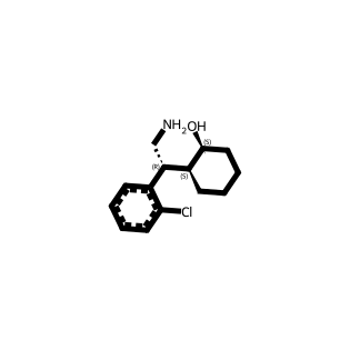 NC[C@@H](c1ccccc1Cl)[C@@H]1CCCC[C@@H]1O